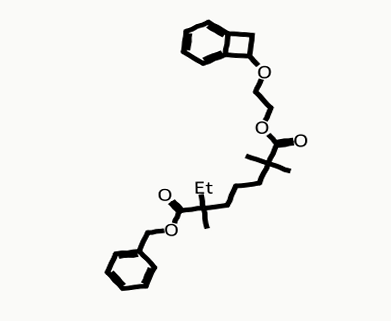 CCC(C)(CCCC(C)(C)C(=O)OCCOC1Cc2ccccc21)C(=O)OCc1ccccc1